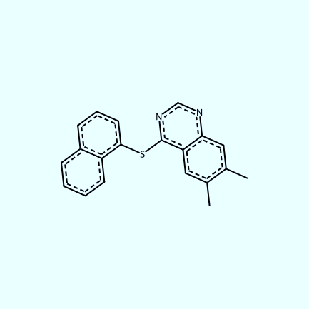 Cc1cc2ncnc(Sc3cccc4ccccc34)c2cc1C